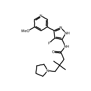 COc1cncc(-c2n[nH]c(NC(=O)CC(C)(C)CN3CCCC3)c2F)c1